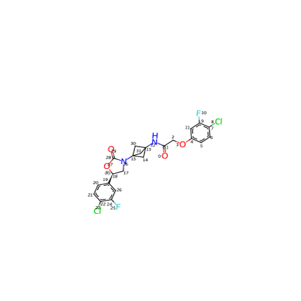 O=C(COc1ccc(Cl)c(F)c1)NC12CC(N3C[C@@H](c4ccc(Cl)c(F)c4)OC3=O)(C1)C2